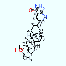 CC(O)[C@H]1CC[C@H]2[C@@H]3CCC4CC(c5cncc(C(N)=O)c5)CC[C@]4(C)[C@H]3CC[C@]12C